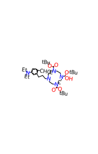 CCN(CC)c1ccc(C=O)c(CCCN2CCN(C(=O)OC(C)(C)C)CCN(C(O)OC(C)(C)C)CCN(C(=O)OC(C)(C)C)CC2)c1